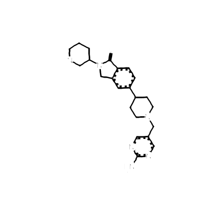 Nc1ncc(CN2CCC(c3ccc4c(c3)CN(C3CCCNC3)C4=O)CC2)cn1